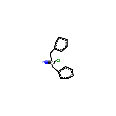 [N]#[Pd]([Cl])([CH2]c1ccccc1)[CH2]c1ccccc1